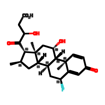 C[C@@H]1C[C@H]2[C@@H]3C[C@H](F)C4=CC(=O)C=C[C@]4(C)[C@H]3[C@@H](O)C[C@]2(C)[C@H]1C(=O)C(O)CC(=O)O